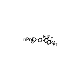 CCCC1=CCC(C2CCC(c3cc4ccc(OCC)c(F)c4c(F)c3F)CC2)CO1